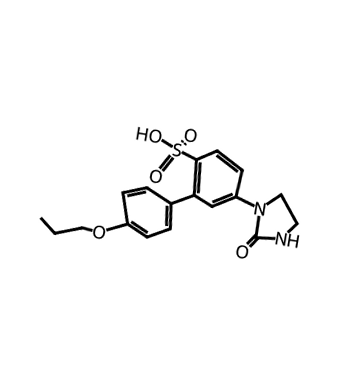 CCCOc1ccc(-c2cc(N3CCNC3=O)ccc2S(=O)(=O)O)cc1